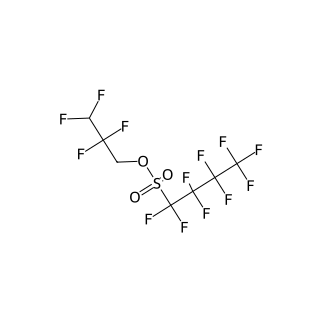 O=S(=O)(OCC(F)(F)C(F)F)C(F)(F)C(F)(F)C(F)(F)C(F)(F)F